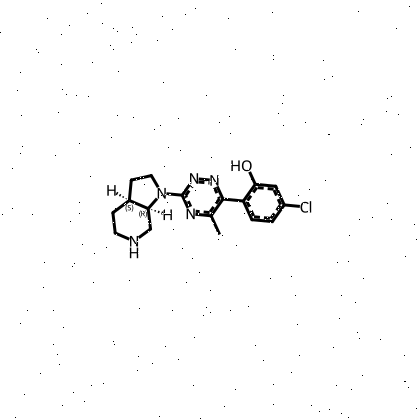 Cc1nc(N2CC[C@@H]3CCNC[C@@H]32)nnc1-c1ccc(Cl)cc1O